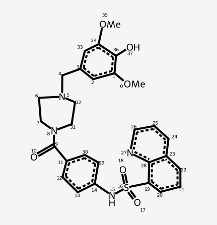 COc1cc(CN2CCN(C(=O)c3ccc(NS(=O)(=O)c4cccc5cccnc45)cc3)CC2)cc(OC)c1O